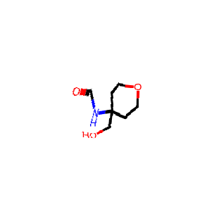 O=CNC1(CO)CCOCC1